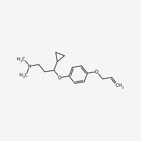 C=CCOc1ccc(OC(CCN(C)C)C2CC2)cc1